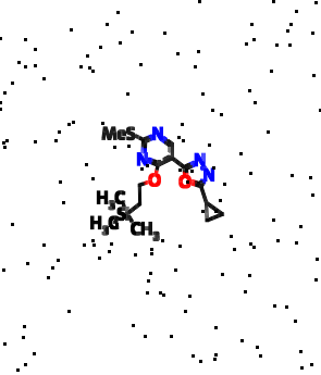 CSc1ncc(-c2nnc(C3CC3)o2)c(OCC[Si](C)(C)C)n1